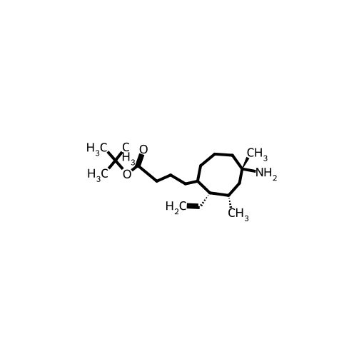 C=C[C@@H]1C(CCCC(=O)OC(C)(C)C)CCC[C@](C)(N)C[C@@H]1C